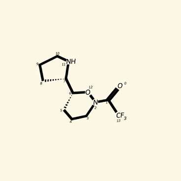 O=C(N1CCC[C@H]([C@@H]2CCCN2)O1)C(F)(F)F